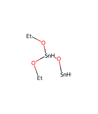 CC[O][SnH]([O][SnH])[O]CC